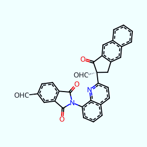 O=Cc1ccc2c(c1)C(=O)N(c1cccc3ccc([C@]4(C=O)Cc5cc6ccccc6cc5C4=O)nc13)C2=O